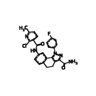 Cc1ccc(C(=O)Nc2ccc3c(c2)-c2c(c(C(N)=O)nn2-c2ccc(F)cc2)CC3)c(Cl)n1